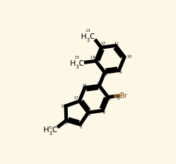 CC1=Cc2cc(Br)c(-c3cccc(C)c3C)cc2C1